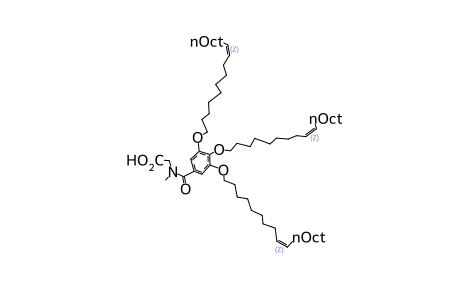 CCCCCCCC/C=C\CCCCCCCCOc1cc(C(=O)N(C)CC(=O)O)cc(OCCCCCCCC/C=C\CCCCCCCC)c1OCCCCCCCC/C=C\CCCCCCCC